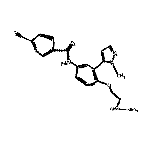 Cn1nccc1-c1cc(NC(=O)c2ccc(C#N)nc2)ccc1OCCNN